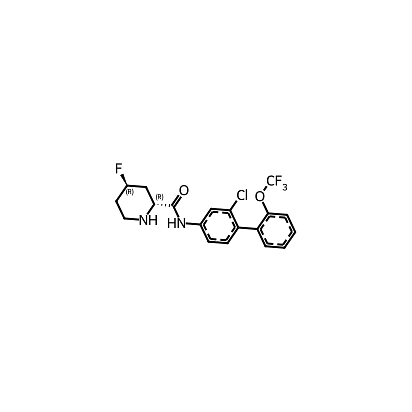 O=C(Nc1ccc(-c2ccccc2OC(F)(F)F)c(Cl)c1)[C@H]1C[C@H](F)CCN1